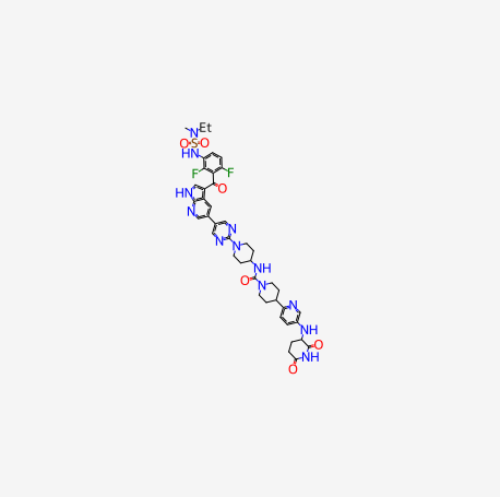 CCN(C)S(=O)(=O)Nc1ccc(F)c(C(=O)c2c[nH]c3ncc(-c4cnc(N5CCC(NC(=O)N6CCC(c7ccc(NC8CCC(=O)NC8=O)cn7)CC6)CC5)nc4)cc23)c1F